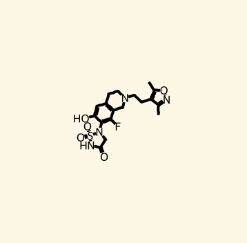 Cc1noc(C)c1CCN1CCc2cc(O)c(N3CC(=O)NS3(=O)=O)c(F)c2C1